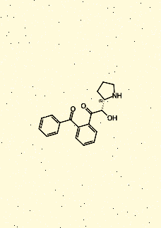 O=C(c1ccccc1)c1ccccc1C(=O)C(O)[C@@H]1CCCN1